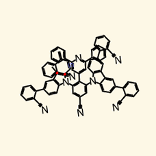 C=C(/C=C\c1c(C)c2cc(-c3ccccc3C#N)ccc2n1-c1cc(C#N)cc(-n2c3ccc(-c4ccccc4C#N)cc3c3cc(-c4ccccc4C#N)ccc32)c1-c1cc(-c2ccccc2)nc(-c2ccccc2)c1)c1ccccc1C#N